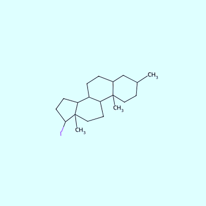 CC1CCC2(C)C(CCC3C4CCC(I)C4(C)CCC32)C1